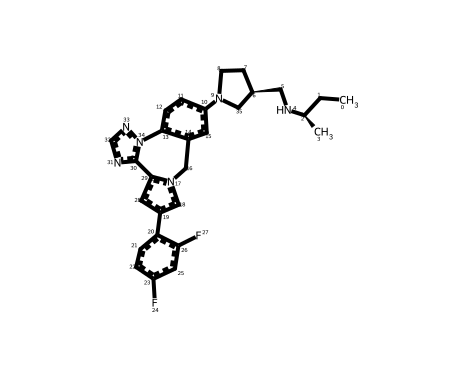 CC[C@@H](C)NC[C@@H]1CCN(c2ccc3c(c2)Cn2cc(-c4ccc(F)cc4F)cc2-c2ncnn2-3)C1